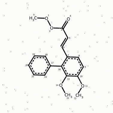 COOC(=O)C=Cc1ccc(OC)c(OC)c1-c1ccccc1